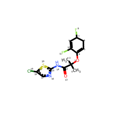 CC(C)(OC1=CCC(F)C=C1F)C(=O)Nc1ncc(Cl)s1